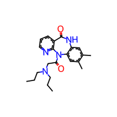 CCCN(CCC)CC(=O)N1c2cc(C)c(C)cc2NC(=O)c2cccnc21